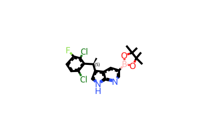 C[C@H](c1c(Cl)ccc(F)c1Cl)c1c[nH]c2ncc(B3OC(C)(C)C(C)(C)O3)cc12